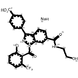 O=C(O)c1ccc(-c2nn(C(=O)c3c(Cl)cccc3C(F)(F)F)c3cc(C(=O)NCCO)ccc23)cc1.[NaH]